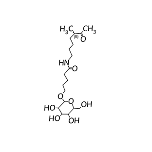 CC(=O)[C@H](C)CCCCNC(=O)CCCCOC1OC(CO)C(O)C(O)C1O